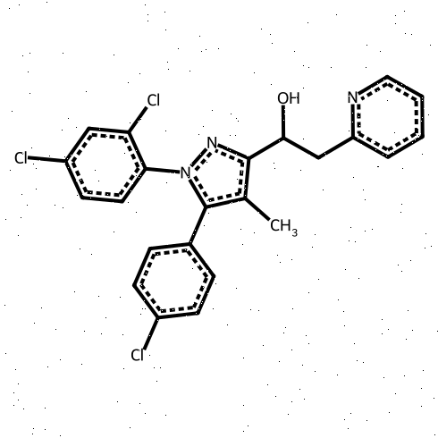 Cc1c(C(O)Cc2ccccn2)nn(-c2ccc(Cl)cc2Cl)c1-c1ccc(Cl)cc1